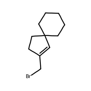 BrCC1=CC2(CCCCC2)CC1